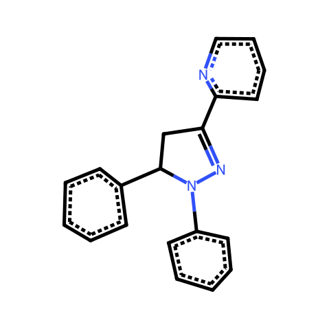 c1ccc(C2CC(c3ccccn3)=NN2c2ccccc2)cc1